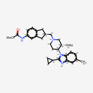 COC(=O)Nc1ccc2c(c1)C[C@H](CN1CC[C@H](n3c(C4CC4)nc4cc(C)ccc43)[C@@H](OC)C1)C2